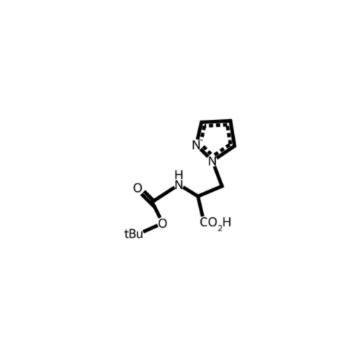 CC(C)(C)OC(=O)NC(Cn1cccn1)C(=O)O